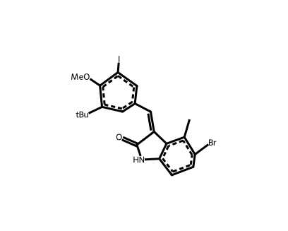 COc1c(I)cc(C=C2C(=O)Nc3ccc(Br)c(C)c32)cc1C(C)(C)C